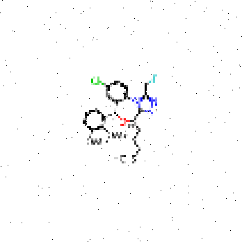 COc1cccc([C@H]2O[C@H](CCCS(=O)(=O)O)c3nnc(CF)n3-c3ccc(Cl)cc32)c1OC